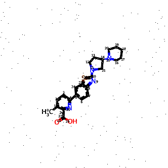 Cc1ccc(-c2ccc3nc(N4CC[C@@H](N5CCCCC5)C4)sc3c2)nc1C(=O)O